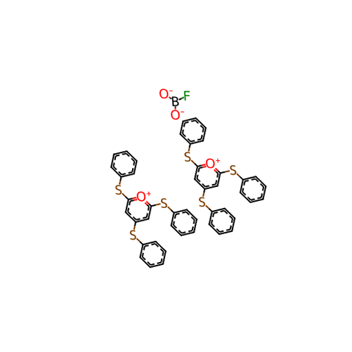 [O-]B([O-])F.c1ccc(Sc2cc(Sc3ccccc3)[o+]c(Sc3ccccc3)c2)cc1.c1ccc(Sc2cc(Sc3ccccc3)[o+]c(Sc3ccccc3)c2)cc1